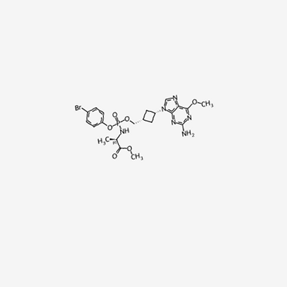 COC(=O)[C@@H](C)NP(=O)(OC[C@H]1C[C@@H](n2cnc3c(OC)nc(N)nc32)C1)Oc1ccc(Br)cc1